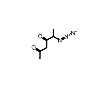 CC(=O)CC(=O)C(C)N=[N+]=[N-]